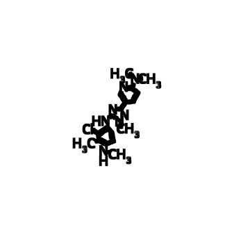 CNc1ccc(Nc2nc(-c3ccc(N(C)C)nc3)nn2C)c(Cl)c1C